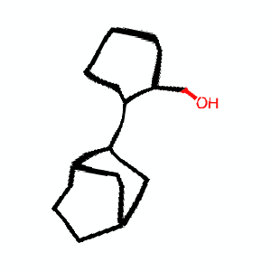 OC1CCCC1C1CC2CCC1C2